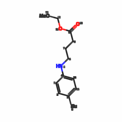 CCC(C)c1ccc(NCCCC(=O)OCOC)cc1